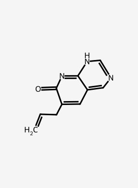 C=CCc1cc2cnc[nH]c-2nc1=O